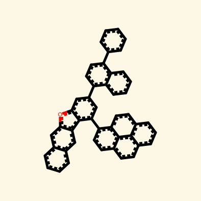 c1ccc(-c2ccc(-c3cc(-c4ccc5ccc6cccc7ccc4c5c67)c4c(c3)oc3cc5ccccc5cc34)c3ccccc23)cc1